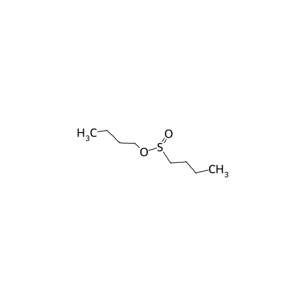 CCCCOS(=O)CCCC